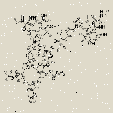 CCNC(=O)C(=N)N(C(=N)c1cc(C(C)C)c(O)cc1O)c1ccc2c(ccn2CCC2CCN(C(=O)[C@@H](C)CCC(=O)N3CCC(C(Cn4ccc5cc(-n6c(C(=O)NCC)nnc6-c6cc(C(C)C)c(O)cc6O)ccc54)C(C)(C)OC(=O)CN4CCN(CC(=O)OC(C)(C)C)CCN(CC(=O)OC(C)(C)C)CCN([C@H](CCC(N)=O)C(=O)OC(C)(C)C)CC4)CC3)CC2)c1